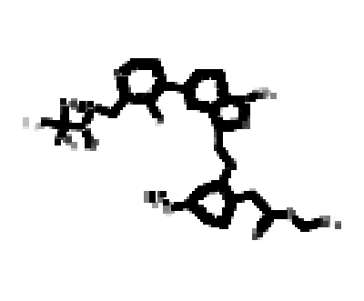 CCOC(=O)Cc1ccc(OC)cc1OCc1nn(C)c2ccc(-c3ccnc(CN[S+]([O-])C(C)(C)C)c3F)cc12